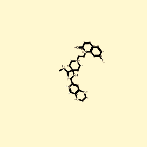 CNC(=O)C1(NCc2cc3c(cn2)OCCO3)CCN(CCn2c(=O)ccc3ccc(F)cc32)CC1